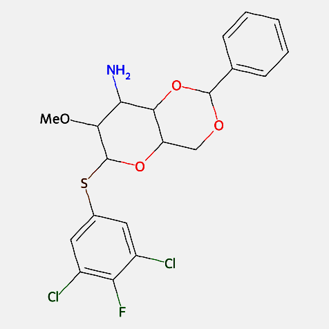 COC1C(Sc2cc(Cl)c(F)c(Cl)c2)OC2COC(c3ccccc3)OC2C1N